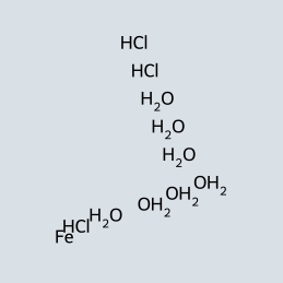 Cl.Cl.Cl.O.O.O.O.O.O.O.[Fe]